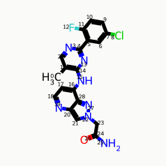 Cc1cnc(-c2cc(Cl)ccc2F)nc1Nc1ccnc2cn(CC(N)=O)nc12